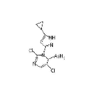 ClC1=CN=C(Cl)N(c2cc(C3CC3)[nH]n2)C1[AsH2]